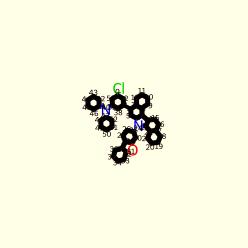 Clc1cc(-c2cc3c(c4ccccc24)c2ccc4ccccc4c2n3-c2ccc3c(c2)oc2ccccc23)cc(N(c2ccccc2)c2ccccc2)c1